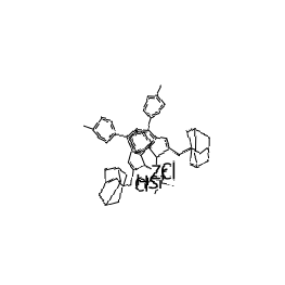 Cc1ccc(-c2cccc3c2C=C(CC24CC5CC(CC(C5)C2)C4)[CH]3[Zr]([Cl])([Cl])([CH]2C(CC34CC5CC(CC(C5)C3)C4)=Cc3c(-c4ccc(C)cc4)cccc32)[SiH](C)C)cc1